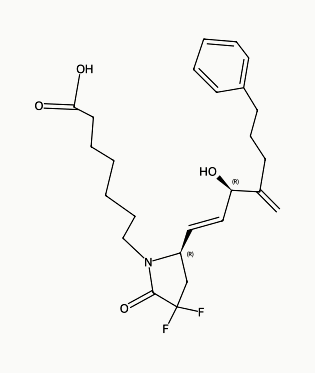 C=C(CCCc1ccccc1)[C@H](O)C=C[C@H]1CC(F)(F)C(=O)N1CCCCCCC(=O)O